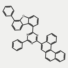 c1ccc(-c2nc(-c3cc4ccc5ccccc5c4c4ccccc34)nc(-c3cccc4oc5c(-c6ccccc6)cccc5c34)n2)cc1